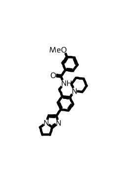 COc1cccc(C(=O)NCc2cc(-c3cn4c(n3)CCC4)ccc2N2CCCCC2)c1